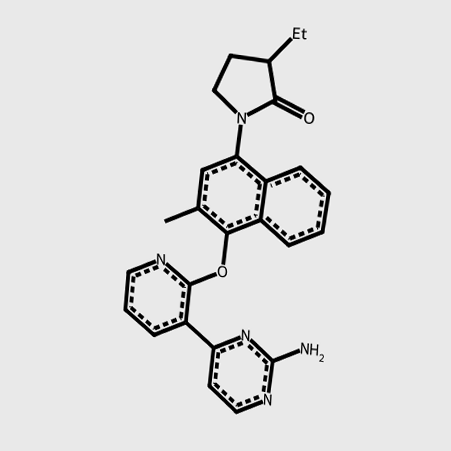 CCC1CCN(c2cc(C)c(Oc3ncccc3-c3ccnc(N)n3)c3ccccc23)C1=O